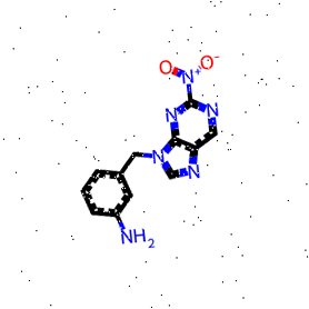 Nc1cccc(Cn2cnc3cnc([N+](=O)[O-])nc32)c1